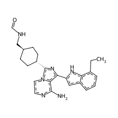 CCc1cccc2cc(-c3nc([C@H]4CC[C@H](CNC=O)CC4)n4ccnc(N)c34)[nH]c12